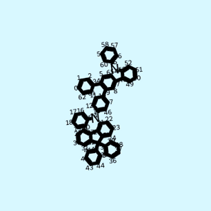 c1ccc(-c2cc3c(cc2-c2ccc(N(c4ccccc4)c4cccc5c4-c4ccccc4C5(c4ccccc4)c4ccccc4)cc2)c2ccccc2n3-c2ccccc2)cc1